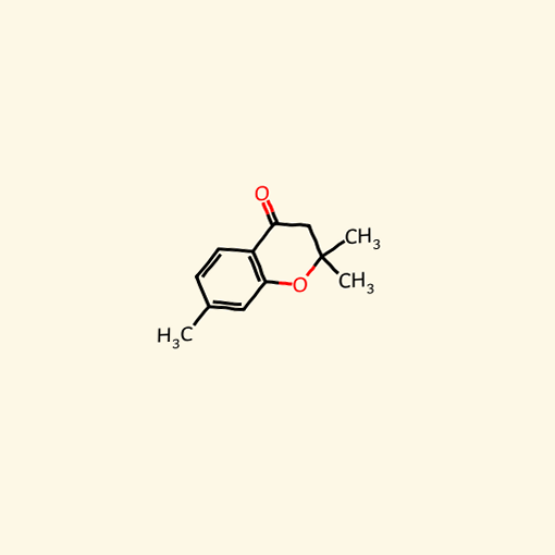 Cc1ccc2c(c1)OC(C)(C)CC2=O